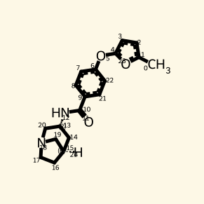 Cc1ccc(Oc2ccc(C(=O)N[C@@H]3C[C@H]4CCN(C4)C3)cc2)o1